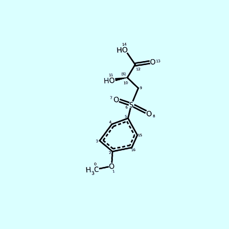 COc1ccc(S(=O)(=O)C[C@@H](O)C(=O)O)cc1